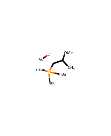 CC(=O)[O-].CCCC[P+](CCCC)(CCCC)CC(C)OC